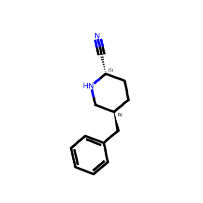 N#C[C@@H]1CC[C@@H](Cc2ccccc2)CN1